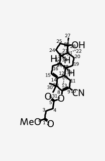 COC(=O)CCC(=O)OC1=C(C#N)C[C@@]2(C)C(=CC[C@@H]3[C@@H]2CC[C@@]2(C)[C@H]3CC[C@]2(C)O)C1(C)C